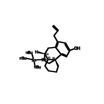 C=CCc1cc(O)cc2c1C[C@@H]1[C@@H]3CCCC[C@]23CC[N]1[Sn]([CH2]CCC)([CH2]CCC)[CH2]CCC